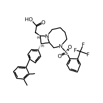 Cc1cccc(-c2ccc([C@H]3C4CN(S(=O)(=O)c5ccccc5C(F)(F)F)CCCCN4[C@@H]3CC(=O)O)cc2)c1C